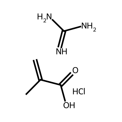 C=C(C)C(=O)O.Cl.N=C(N)N